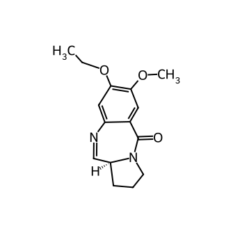 CCOc1cc2c(cc1OC)C(=O)N1CCC[C@H]1C=N2